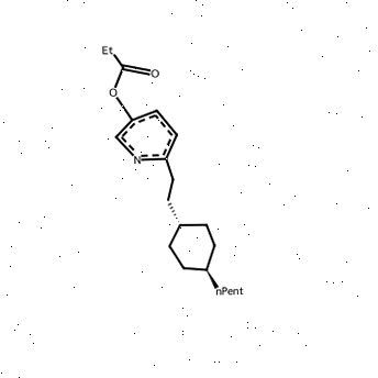 CCCCC[C@H]1CC[C@H](CCc2ccc(OC(=O)CC)cn2)CC1